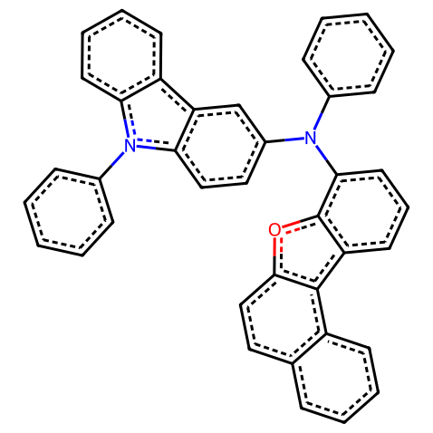 c1ccc(N(c2ccc3c(c2)c2ccccc2n3-c2ccccc2)c2cccc3c2oc2ccc4ccccc4c23)cc1